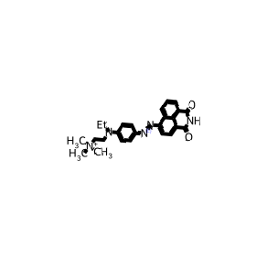 CCN(CC[N+](C)(C)C)c1ccc(/N=N/c2ccc3c4c(cccc24)C(=O)NC3=O)cc1